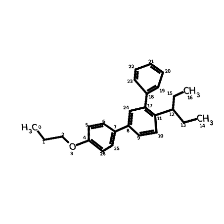 CCCOc1ccc(-c2ccc(C(CC)CC)c(-c3ccccc3)c2)cc1